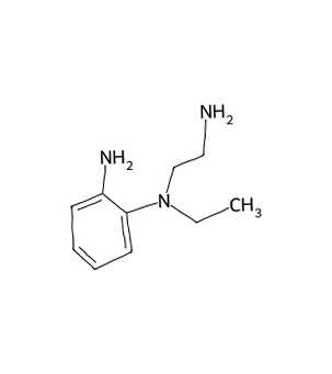 CCN(CCN)c1ccccc1N